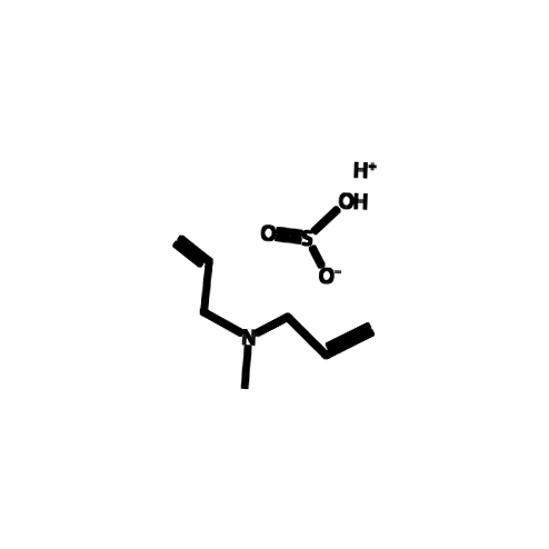 C=CCN(C)CC=C.O=S([O-])O.[H+]